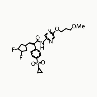 COCCCOc1cnc(NC(=O)/C(=C/C2CC(F)C(F)C2)c2ccc(S(=O)(=O)C3CC3)cc2)cn1